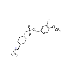 C/C=C/[C@H]1CC[C@H](CC(F)(F)OCc2ccc(OC(F)(F)F)c(F)c2)CC1